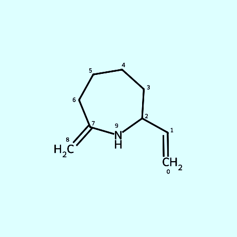 C=CC1CCCCC(=C)N1